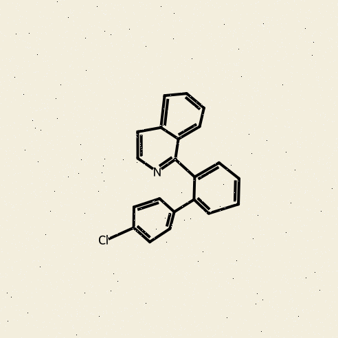 Clc1ccc(-c2ccccc2-c2nccc3ccccc23)cc1